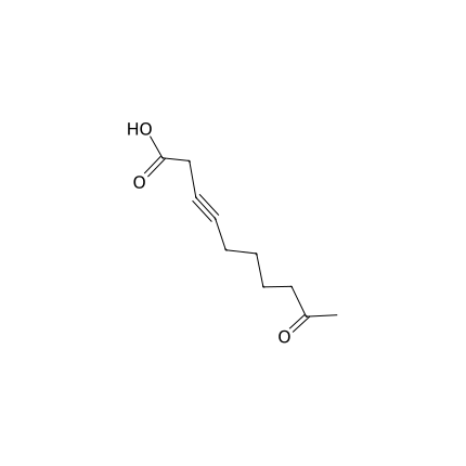 CC(=O)CCCCC#CCC(=O)O